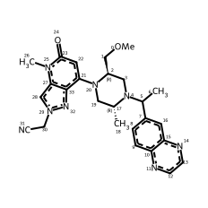 COC[C@H]1CN(C(C)c2ccc3nccnc3c2)[C@H](C)CN1c1cc(=O)n(C)c2cn(CC#N)nc12